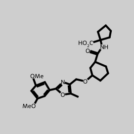 COc1cc(OC)cc(-c2nc(COC3CCCC(C(=O)NC4(C(=O)O)CCCC4)C3)c(C)o2)c1